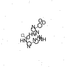 O=C(Nc1cncc(-c2ccc3[nH]nc(-c4nc5c(-c6ccc7c(c6)OCO7)nccc5[nH]4)c3n2)c1)C1CCC1